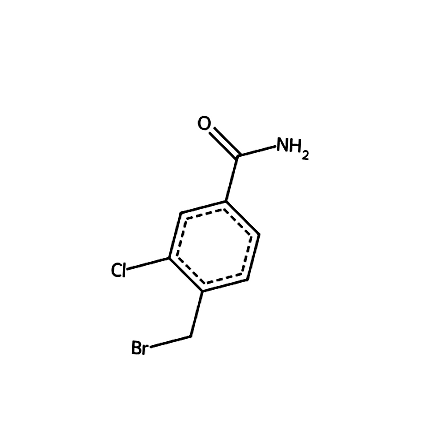 NC(=O)c1ccc(CBr)c(Cl)c1